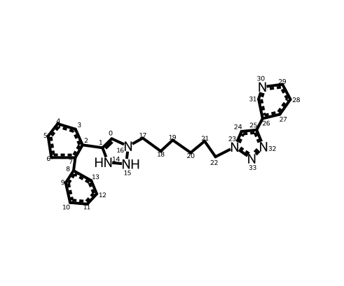 C1=C(c2ccccc2-c2ccccc2)NNN1CCCCCCn1cc(-c2cccnc2)nn1